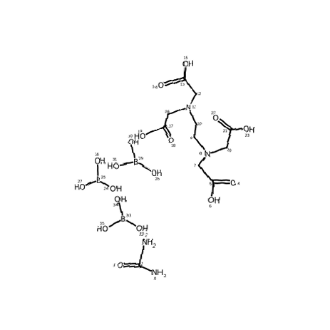 NC(N)=O.O=C(O)CN(CCN(CC(=O)O)CC(=O)O)CC(=O)O.OB(O)O.OB(O)O.OB(O)O